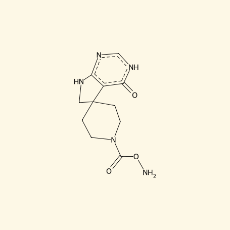 NOC(=O)N1CCC2(CC1)CNc1nc[nH]c(=O)c12